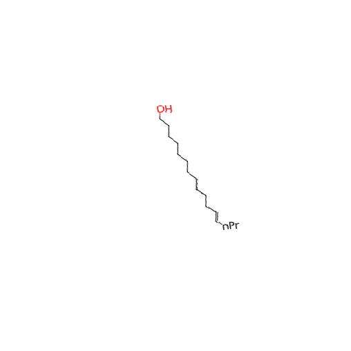 CCCC=CCCCCCCCCCCCO